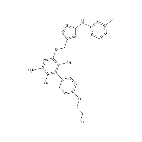 N#Cc1c(N)nc(SCc2csc(Nc3cccc(F)c3)n2)c(C#N)c1-c1ccc(OCCO)cc1